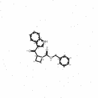 O=C(c1c[nH]c2ccccc12)C1CCN1C(=O)OCc1ccccc1